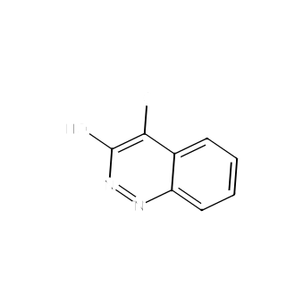 Oc1nnc2ccccc2c1Cl